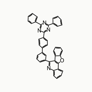 c1ccc(-c2nc(-c3ccccc3)nc(-c3ccc(-c4cccc(-c5nc6ccccc6c6oc7ccccc7c56)c4)cc3)n2)cc1